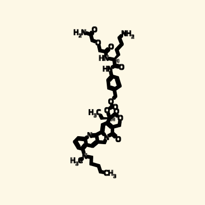 CCCCCN(C)c1cccc2nc3c(cc12)Cn1c-3cc2c(c1=O)COC(=O)[C@@]2(CC)OC(=O)OCc1ccc(NC(=O)[C@H](CCCCN)NC(=O)COCC(N)=O)cc1